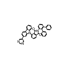 O=C1c2cccc(-n3c4ccccc4c4ccc(-c5cncnc5)cc43)c2C(=O)N1c1cccc(-c2ccccc2)c1-c1ccccc1